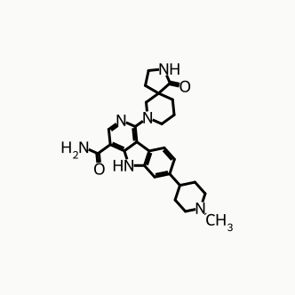 CN1CCC(c2ccc3c(c2)[nH]c2c(C(N)=O)cnc(N4CCCC5(CCNC5=O)C4)c23)CC1